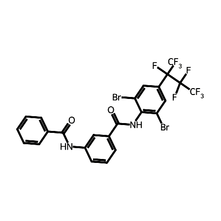 O=C(Nc1cccc(C(=O)Nc2c(Br)cc(C(F)(C(F)(F)F)C(F)(F)C(F)(F)F)cc2Br)c1)c1ccccc1